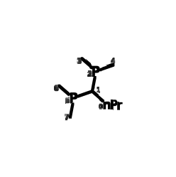 CCCC(P(C)C)P(C)C